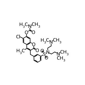 Cc1c(Cc2cccc(S(=O)(=O)N(CCN(C)C)CCN(C)C)c2)c(=O)oc2cc(OC(=O)N(C)C)c(Cl)cc12